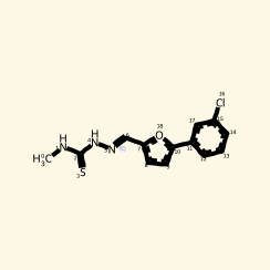 CNC(=S)N/N=C/c1ccc(-c2cccc(Cl)c2)o1